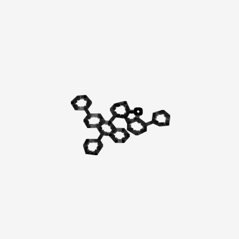 c1ccc(-c2ccc3c(-c4ccccc4)c4ccccc4c(-c4cccc5oc6c(-c7ccccc7)cccc6c45)c3c2)cc1